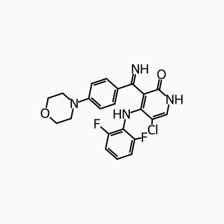 N=C(c1ccc(N2CCOCC2)cc1)c1c(Nc2c(F)cccc2F)c(Cl)c[nH]c1=O